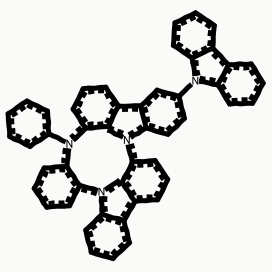 c1ccc(-n2c3ccccc3n3c4ccccc4c4cccc(c43)n3c4ccc(-n5c6ccccc6c6ccccc65)cc4c4cccc2c43)cc1